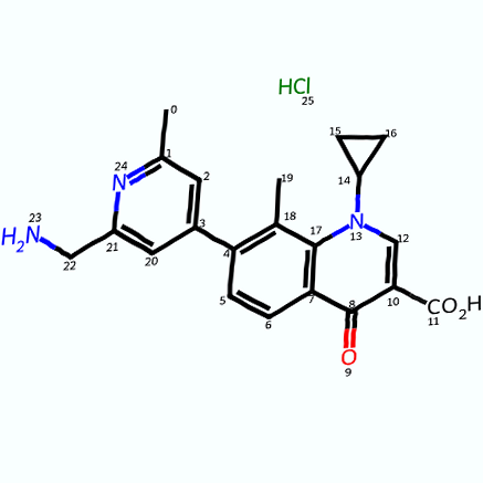 Cc1cc(-c2ccc3c(=O)c(C(=O)O)cn(C4CC4)c3c2C)cc(CN)n1.Cl